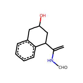 C=C(NC=O)C1CC(O)Cc2ccccc21